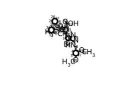 COc1ccc(CNc2ncnc3c2c(Br)cn3[C@H]2C[C@H](O[Si](c3ccccc3)(c3ccccc3)C(C)(C)C)[C@@H](C(=O)O)C2)c(OC)c1